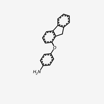 Nc1ccc(Oc2cccc3c2Cc2ccccc2-3)cc1